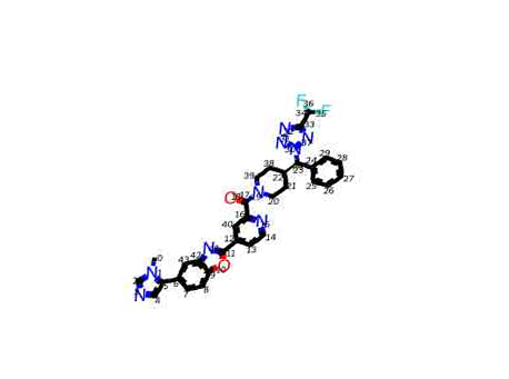 Cn1cncc1-c1ccc2oc(-c3ccnc(C(=O)N4CCC([C@H](c5ccccc5)n5nnc(C(F)F)n5)CC4)c3)nc2c1